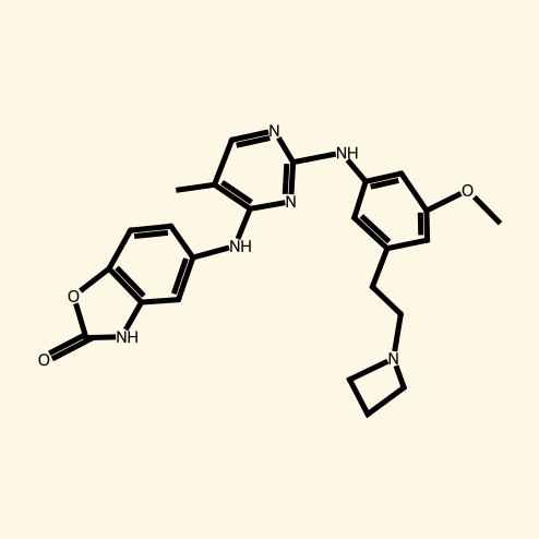 COc1cc(CCN2CCC2)cc(Nc2ncc(C)c(Nc3ccc4oc(=O)[nH]c4c3)n2)c1